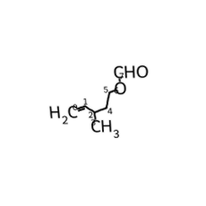 C=CC(C)CCOC=O